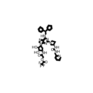 O=C(COC(=O)C(F)(F)F)N[C@H]1C[C@@H](n2cnc3c(NCC(c4ccccc4)c4ccccc4)nc(N4CC[C@@H](NC(=O)NCc5ccccn5)C4)nc32)[C@H](O)[C@@H]1O